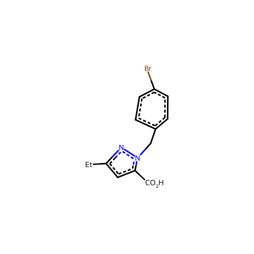 CCc1cc(C(=O)O)n(Cc2ccc(Br)cc2)n1